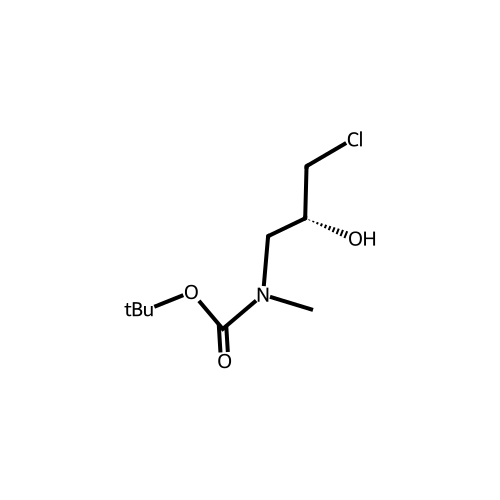 CN(C[C@@H](O)CCl)C(=O)OC(C)(C)C